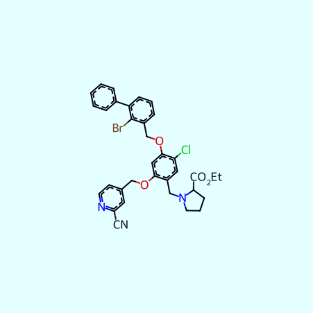 CCOC(=O)C1CCCN1Cc1cc(Cl)c(OCc2cccc(-c3ccccc3)c2Br)cc1OCc1ccnc(C#N)c1